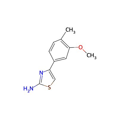 COc1cc(-c2csc(N)n2)ccc1C